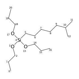 CCCO[Si](CCCCCC(C)C)(OCCC)OCCC